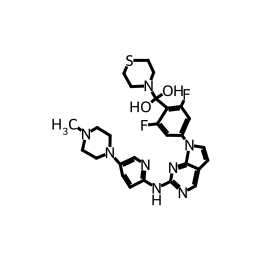 CN1CCN(c2ccc(Nc3ncc4ccn(-c5cc(F)c(C(O)(O)N6CCSCC6)c(F)c5)c4n3)nc2)CC1